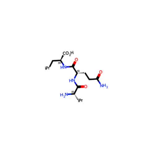 CC(C)C[C@H](NC(=O)[C@H](CCC(N)=O)NC(=O)[C@@H](N)C(C)C)C(=O)O